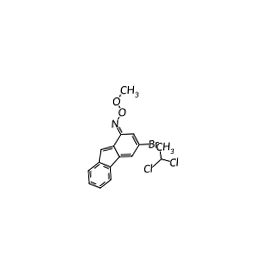 CC(Cl)Cl.COON=C1C=C(Br)C=C2C1=Cc1ccccc12